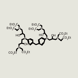 CCOC(=O)CN(CC(=O)OCC)CC(O)CN(CC(O)CN(CC(=O)OCC)CC(=O)OCC)c1ccc(Cc2ccc(N(CC(O)CN(CC(=O)OCC)CC(=O)OCC)CC(O)CN(CC(=O)OCC)CC(=O)OCC)cc2)cc1